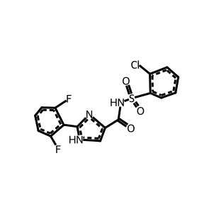 O=C(NS(=O)(=O)c1ccccc1Cl)c1c[nH]c(-c2c(F)cccc2F)n1